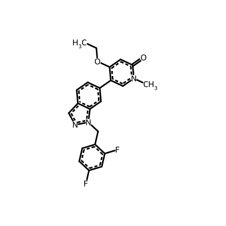 CCOc1cc(=O)n(C)cc1-c1ccc2cnn(Cc3ccc(F)cc3F)c2c1